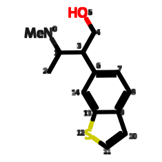 CNC(C)C(CO)c1ccc2ccsc2c1